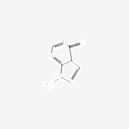 CN1N=CC2C(=O)N=CN=C21